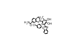 CN1C(N2CCc3ccc(C(N)=O)cc3[C@H]2c2ccccc2Cl)=NC(c2nc3ccccc3o2)=C(O)C1O